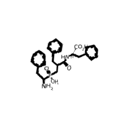 NC(Cc1ccccc1)P(=O)(O)CC(Cc1ccccc1)C(=O)N[C@@H](Cc1ccccc1)C(=O)O